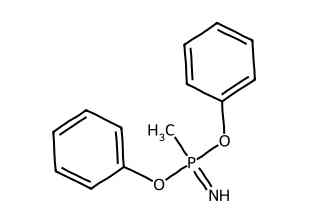 CP(=N)(Oc1ccccc1)Oc1ccccc1